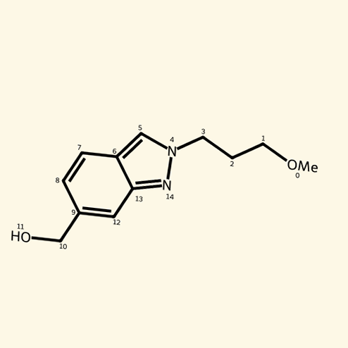 COCCCn1cc2ccc(CO)cc2n1